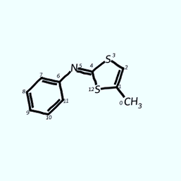 Cc1csc(=Nc2ccccc2)s1